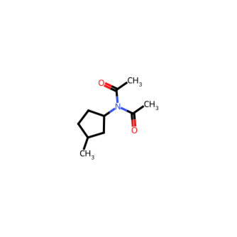 CC(=O)N(C(C)=O)C1CCC(C)C1